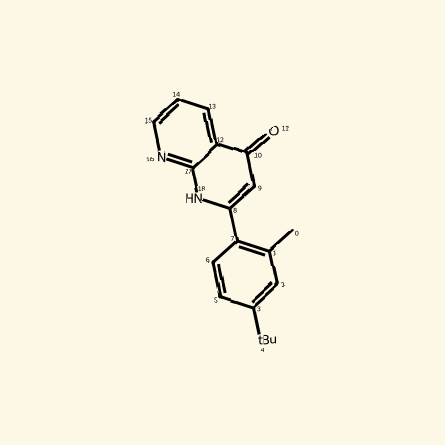 Cc1cc(C(C)(C)C)ccc1-c1cc(=O)c2cccnc2[nH]1